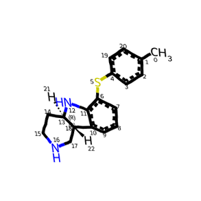 Cc1ccc(Sc2cccc3c2N[C@@H]2CCNC[C@@H]32)cc1